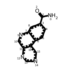 NC(=O)c1ccc2c(c1)ncc1ncncc12